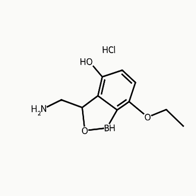 CCOc1ccc(O)c2c1BOC2CN.Cl